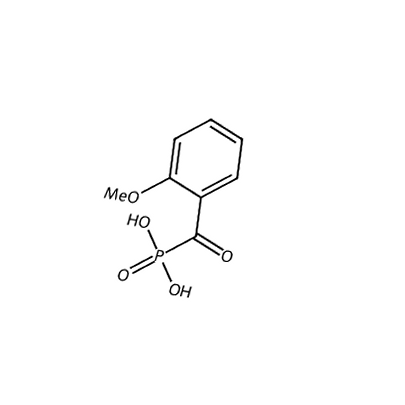 COc1ccccc1C(=O)P(=O)(O)O